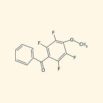 COc1c(F)c(F)c(C(=O)c2ccccc2)c(F)c1F